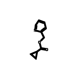 O=C(OCc1ccccn1)C1CC1